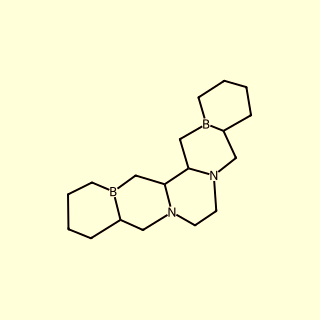 C1CCC2CN3CCN4CC5CCCCB5CC4C3CB2C1